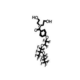 O=C(c1ccc(OC(F)(F)C(F)OC(F)(F)C(F)(OC(F)(F)C(F)(F)C(F)(F)F)C(F)(F)F)cc1)N(CCO)CCO